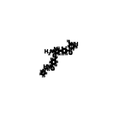 CC1CN(C(=O)c2ccc(-c3cnc(N)c(OCc4ccc(C(=O)NCCN5CCCC5)cc4)c3)cc2)CC(C)N1